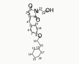 O=C1SC(=Cc2ccc(OCCC3CCCCC3)cc2)C(=O)N1CCO